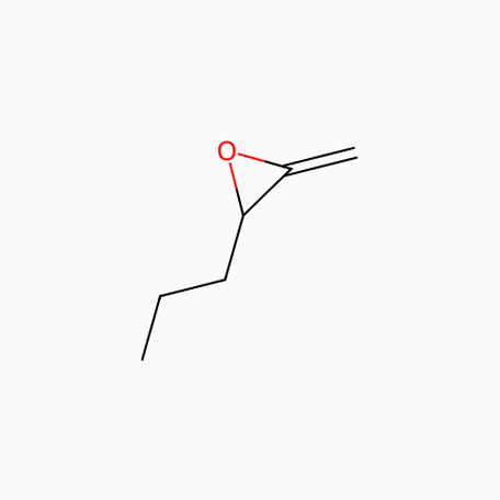 C=C1OC1CCC